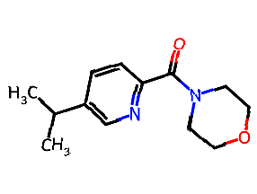 CC(C)c1ccc(C(=O)N2CCOCC2)nc1